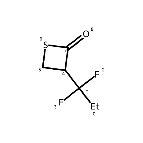 [CH2]CC(F)(F)C1CSC1=O